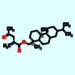 C=C(CC(C)=O)C(=O)OC[C@@]1(C)CCC[C@@]2(C)C3CCC(C(C)C)CC3CCC12